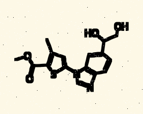 COC(=O)c1sc(-n2cnc3ccc(C(O)CO)cc32)cc1C